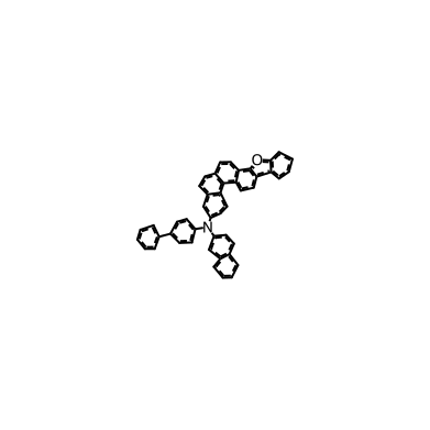 c1ccc(-c2ccc(N(c3ccc4ccccc4c3)c3ccc4c(ccc5ccc6c(ccc7c8ccccc8oc76)c54)c3)cc2)cc1